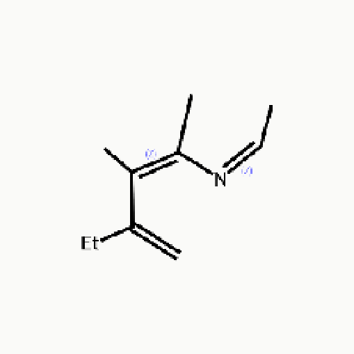 C=C(CC)/C(C)=C(C)\N=C/C